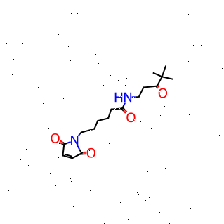 CC(C)(C)C(=O)CCNC(=O)CCCCCN1C(=O)C=CC1=O